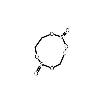 O=S1OCCOS(=O)OCCO1